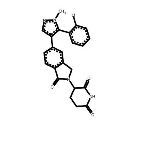 Cn1ncc(-c2ccc3c(c2)CN(C2CCC(=O)NC2=O)C3=O)c1-c1ccccc1Cl